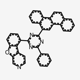 c1ccc(-c2nc(-c3cc4c5ccccc5ccc4c4ccccc34)nc(-c3cccc4oc5cnccc5c34)n2)cc1